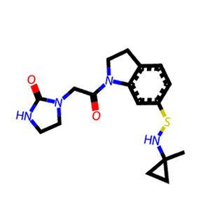 CC1(NSc2ccc3c(c2)N(C(=O)CN2CCNC2=O)CC3)CC1